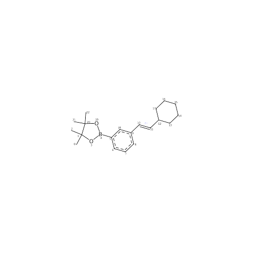 CC1(C)OB(c2cccc(/C=C/C3CCCCC3)c2)OC1(C)C